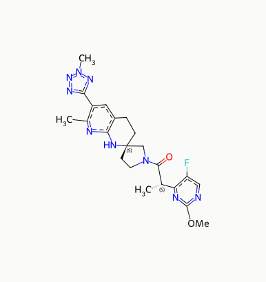 COc1ncc(F)c([C@H](C)C(=O)N2CC[C@@]3(CCc4cc(-c5nnn(C)n5)c(C)nc4N3)C2)n1